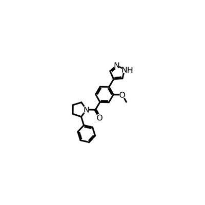 COc1cc(C(=O)N2CCCC2c2ccccc2)ccc1-c1cn[nH]c1